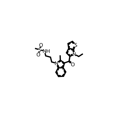 CCn1c(C(=O)c2c(C)n(CCCNS(C)(=O)=O)c3ccccc23)cc2ccsc21